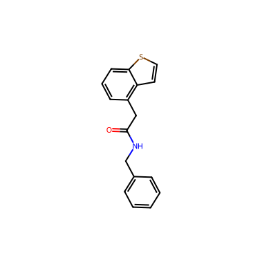 O=C(Cc1cccc2sccc12)NCc1ccccc1